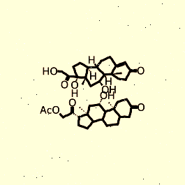 CC(=O)OCC(=O)[C@H]1CCC2C3CCC4CC(=O)CC[C@]4(C)C3[C@@H](O)C[C@@]21C.C[C@]12CCC(=O)C=C1CC[C@@H]1[C@@H]2[C@@H](O)C[C@@]2(C)[C@H]1CC[C@]2(O)C(=O)CO